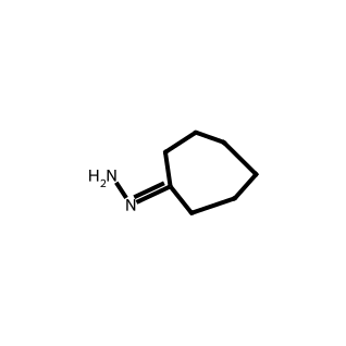 NN=C1CCCCCC1